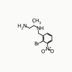 C[C@@H](CN)NCc1cccc([N+](=O)[O-])c1Br